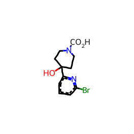 O=C(O)N1CCC(O)(c2cccc(Br)n2)CC1